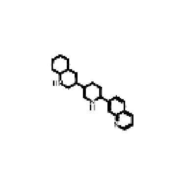 c1cnc2cc(C3CCC(C4CNC5CCCCC5C4)CN3)ccc2c1